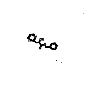 O=C(OCc1ccccc1)C(O)Cc1ncccn1